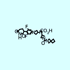 O=C1CCC(c2c(F)cc(N3CC(N(C(=O)O)C4CN(C(=O)N5CC6(CCC6)C5)C4)C3)cc2F)C(=O)N1